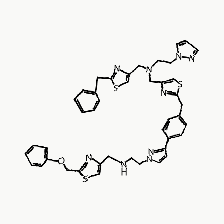 c1ccc(Cc2nc(CN(CCn3cccn3)Cc3csc(Cc4ccc(-c5ccn(CCNCc6csc(COc7ccccc7)n6)n5)cc4)n3)cs2)cc1